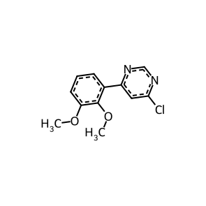 COc1cccc(-c2cc(Cl)ncn2)c1OC